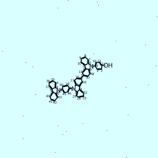 Oc1ccc(-n2c3ccccc3c3cc(-c4ccc5c(c4)c4ccccc4n5-c4ccc(-n5c6ccccc6c6ccccc65)cc4)ccc32)cc1